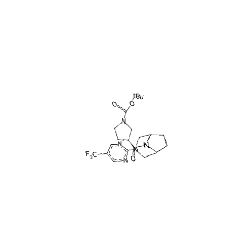 CC(C)(C)OC(=O)N1CC[C@H](C(=O)N2C3CCC2CN(c2ncc(C(F)(F)F)cn2)C3)C1